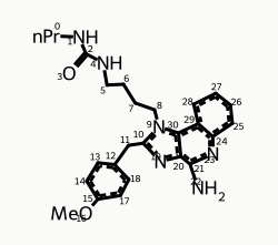 CCCNC(=O)NCCCCn1c(Cc2ccc(OC)cc2)nc2c(N)nc3ccccc3c21